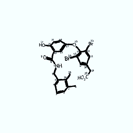 Cc1cccc(CNC(=O)c2cc(Oc3c(Br)cc(CC(=O)O)cc3Br)ccc2O)c1C